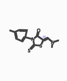 Cc1ccc(N2C(=O)/C(=C/N(C)C)SC2=S)cc1